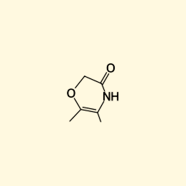 CC1=C(C)OCC(=O)N1